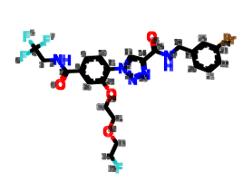 O=C(NCC(F)(F)F)c1ccc(-n2cc(C(=O)NCc3cccc(Br)c3)nn2)c(OCCOCCF)c1